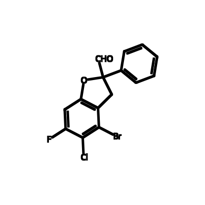 O=CC1(c2ccccc2)Cc2c(cc(F)c(Cl)c2Br)O1